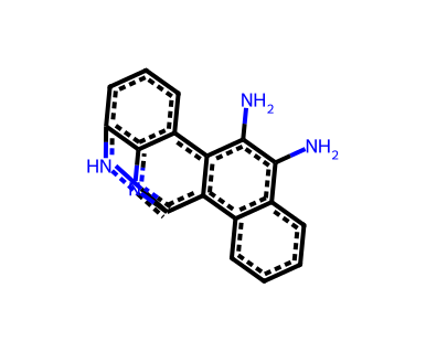 Nc1c(N)c2c3cccc4[nH]c(nc43)c2c2ccccc12